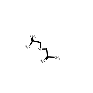 C=C(C)C[Se]CC(=C)C